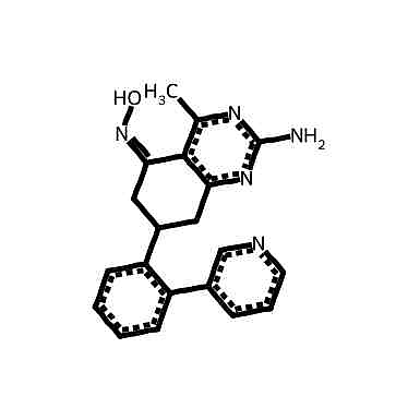 Cc1nc(N)nc2c1/C(=N\O)CC(c1ccccc1-c1cccnc1)C2